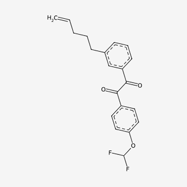 C=CCCCc1cccc(C(=O)C(=O)c2ccc(OC(F)F)cc2)c1